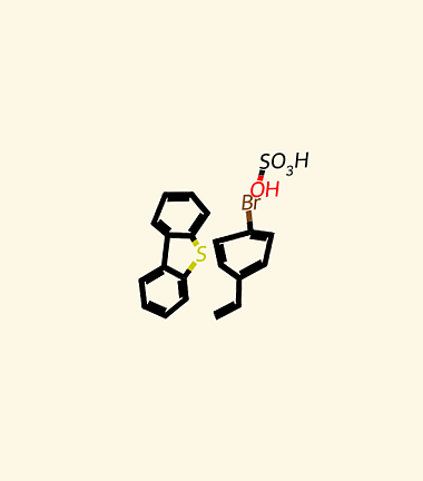 C=Cc1ccc(Br)cc1.O=S(=O)(O)O.c1ccc2c(c1)sc1ccccc12